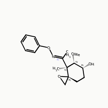 CO[C@@H]1[C@H](O)CC[C@]2(CO2)[C@@]1(C)/C(C)=N/Oc1ccccc1